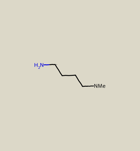 CNCCC[CH]N